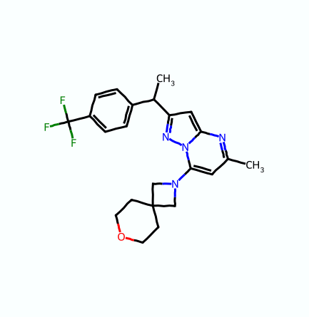 Cc1cc(N2CC3(CCOCC3)C2)n2nc(C(C)c3ccc(C(F)(F)F)cc3)cc2n1